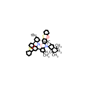 Cc1cc2c3c(c1)N(c1cc4c(cc1C)C(C)(C)CCC4(C)C)c1cc4c(cc1B3N(c1ccc(C(C)(C)C)cc1-c1ccccc1)c1cc3sc5ccccc5c3cc1-2)Sc1ccccc1O4